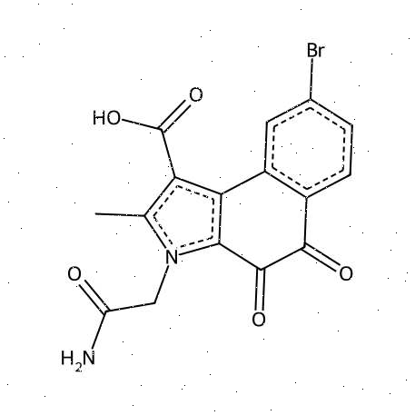 Cc1c(C(=O)O)c2c(n1CC(N)=O)C(=O)C(=O)c1ccc(Br)cc1-2